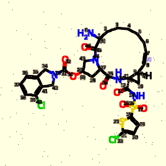 N[C@H]1CCCCC/C=C\[C@@H]2C[C@@]2(C(=O)NS(=O)(=O)c2ccc(Cl)s2)NC(=O)C2C[C@@H](OC(=O)N3Cc4cccc(Cl)c4C3)CN2C1=O